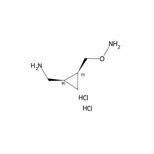 Cl.Cl.NC[C@@H]1C[C@@H]1CON